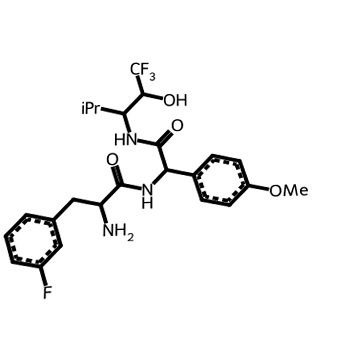 COc1ccc(C(NC(=O)C(N)Cc2cccc(F)c2)C(=O)NC(C(C)C)C(O)C(F)(F)F)cc1